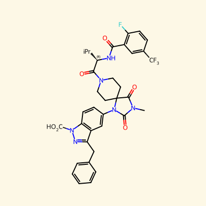 CC(C)[C@@H](NC(=O)c1cc(C(F)(F)F)ccc1F)C(=O)N1CCC2(CC1)C(=O)N(C)C(=O)N2c1ccc2c(c1)c(Cc1ccccc1)nn2C(=O)O